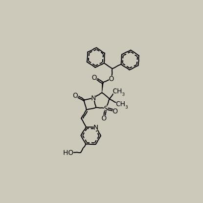 CC1(C)[C@H](C(=O)OC(c2ccccc2)c2ccccc2)N2C(=O)/C(=C/c3cc(CO)ccn3)C2S1(=O)=O